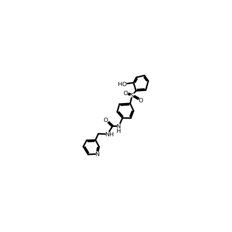 O=C(NCc1cccnc1)Nc1ccc(S(=O)(=O)c2ccccc2O)cc1